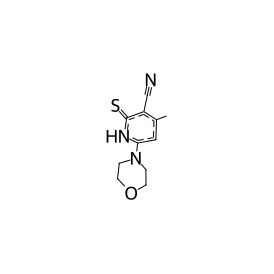 Cc1cc(N2CCOCC2)[nH]c(=S)c1C#N